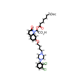 CCCCCCCCCCCCCCCC(=O)OC(C(=O)O)n1c(=O)ccc2ccc(OCCCCN3CCN(c4cccc(Cl)c4Cl)CC3)cc21